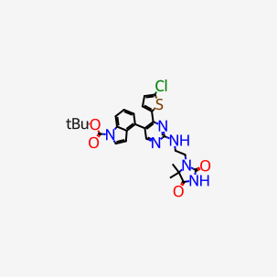 CC(C)(C)OC(=O)n1ccc2c(-c3cnc(NCCN4C(=O)NC(=O)C4(C)C)nc3-c3ccc(Cl)s3)cccc21